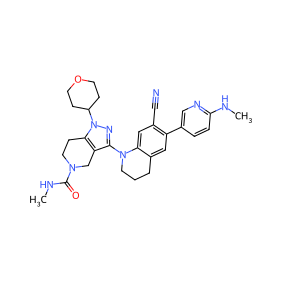 CNC(=O)N1CCc2c(c(N3CCCc4cc(-c5ccc(NC)nc5)c(C#N)cc43)nn2C2CCOCC2)C1